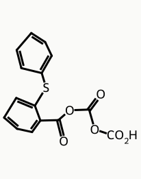 O=C(O)OC(=O)OC(=O)c1ccccc1Sc1ccccc1